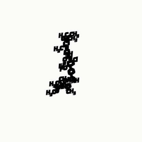 COC(=O)N[C@H](C(=O)N1C[C@@H](C)C[C@H]1c1nc(-c2ccc(-c3cc(Cl)c(NC(=O)N4CCC(N5CCN(C(=O)C(C)(C)C)CC5C)CC4)cc3OC(F)(F)F)cc2)c[nH]1)C(C)C